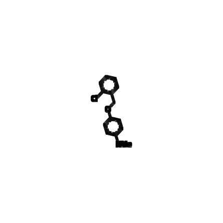 CNc1ccc(OCc2ccccc2Cl)cc1